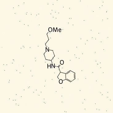 COCCCN1CCC(NC(=O)C2COc3ccccc32)CC1